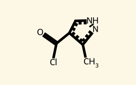 Cc1n[nH]cc1C(=O)Cl